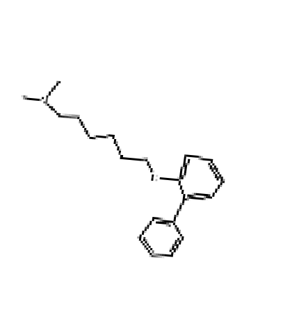 CN(C)CCCCCCOc1ccccc1-c1ccccc1